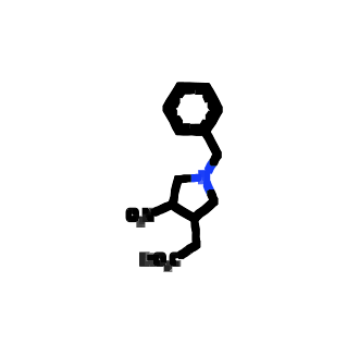 CCOC(=O)CC1CN(Cc2ccccc2)CC1[N+](=O)[O-]